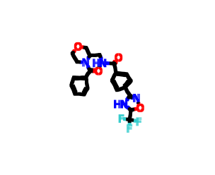 O=C(NCC1COCCN1C(=O)c1ccccc1)c1ccc(C2=NOC(C(F)(F)F)N2)cc1